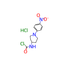 Cl.O=C(Cl)NC1CCN(c2ccc([N+](=O)[O-])cc2)CC1